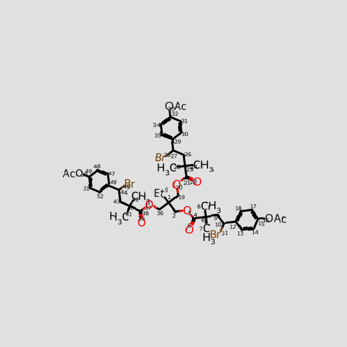 CCC(COC(=O)C(C)(C)CC(Br)c1ccc(OC(C)=O)cc1)(COC(=O)C(C)(C)CC(Br)c1ccc(OC(C)=O)cc1)COC(=O)C(C)(C)CC(Br)c1ccc(OC(C)=O)cc1